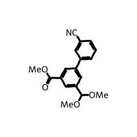 COC(=O)c1cc(-c2cccc(C#N)c2)cc(C(OC)OC)c1